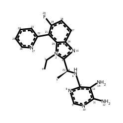 CCn1c([C@H](C)Nc2ncnc(N)c2N)nc2ccc(F)c(-c3ccccn3)c21